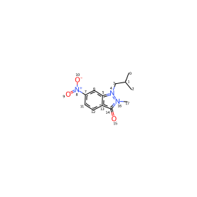 C[C](C)Cn1c2cc([N+](=O)[O-])ccc2c(=O)n1C